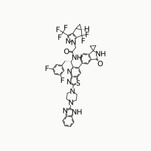 O=C(Cn1nc(C(F)(F)F)c2c1C(F)(F)[C@@H]1CC21)N[C@@H](Cc1cc(F)cc(F)c1)c1nc2nc(N3CCN(c4nc5ccccc5[nH]4)CC3)sc2cc1-c1ccc2c(c1)C(=O)NC21CC1